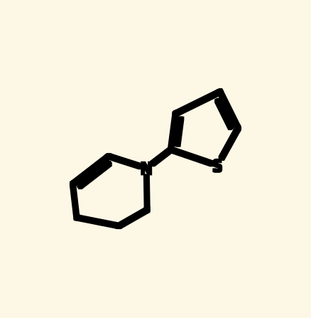 C1=CN(c2cccs2)CCC1